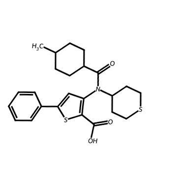 CC1CCC(C(=O)N(c2cc(-c3ccccc3)sc2C(=O)O)C2CCSCC2)CC1